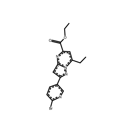 CCOC(=O)c1cc(CC)n2nc(-c3ccc(Br)nc3)cc2n1